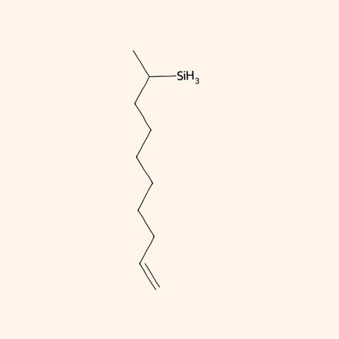 C=CCCCCCCC(C)[SiH3]